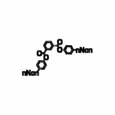 CCCCCCCCCc1ccc(OC(=O)c2cccc(C(=O)Oc3ccc(CCCCCCCCC)cc3)c2)cc1